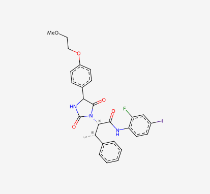 COCCOc1ccc(C2NC(=O)N([C@H](C(=O)Nc3ccc(I)cc3F)[C@@H](C)c3ccccc3)C2=O)cc1